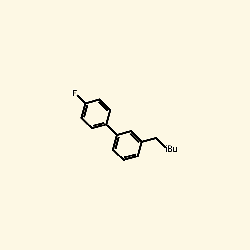 CCC(C)Cc1cccc(-c2ccc(F)cc2)c1